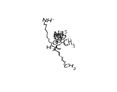 CC(C)S(=O)(=O)[O-].CCCCCCCCCCCCCCCCCC[NH-].[Na+].[Na+]